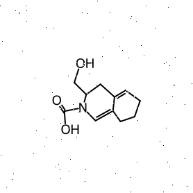 O=C(O)N1C=C2CCCC=C2CC1CO